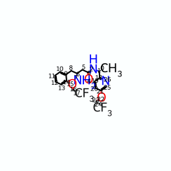 C[C@@H](NC(=O)C[C@H](N)Cc1ccccc1OCC(F)(F)F)c1ccc(OCC(F)(F)F)cn1